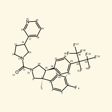 C[C@]1(c2ccc(F)cc2)CN(C(=O)N2CCC(c3cccnc3)C2)C[C@H]1c1ccc(C(F)(C(F)(F)F)C(F)(F)F)cc1